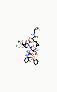 C=CCNC(=O)C(=O)C(CC1CC1)NC(=O)[C@@H]1[C@@H]2[C@H](CN1C(=O)[C@@H](NC(=O)NC1(CS(=O)(=O)C3CCCCC3)CCCCC1)C(C)(C)C)C2(C)C